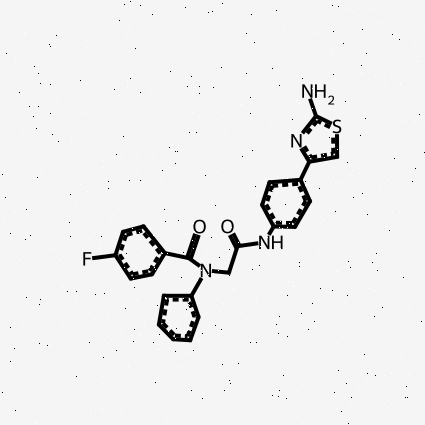 Nc1nc(-c2ccc(NC(=O)CN(C(=O)c3ccc(F)cc3)c3ccccc3)cc2)cs1